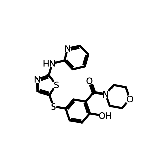 O=C(c1cc(Sc2cnc(Nc3ccccn3)s2)ccc1O)N1CCOCC1